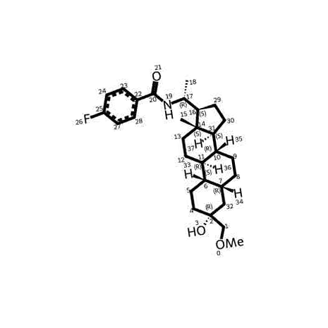 COC[C@@]1(O)CC[C@H]2[C@H](CC[C@@H]3[C@@H]2CC[C@]2(C)[C@@H]([C@@H](C)NC(=O)c4ccc(F)cc4)CC[C@@H]32)C1